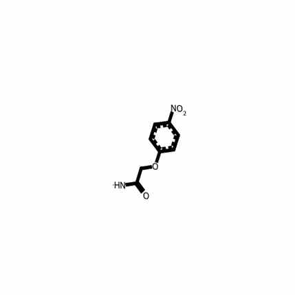 [NH]C(=O)COc1ccc([N+](=O)[O-])cc1